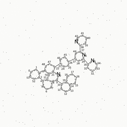 c1ccc(-c2cccc3c(-c4cccc5ccccc45)nc4c(-c5ccc(-c6cc(-c7ccccn7)nc(-c7ccccn7)c6)cc5)cccc4c23)cc1